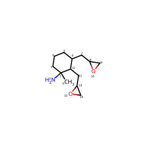 CC1(N)CCCC(CC2CO2)C1CC1CO1